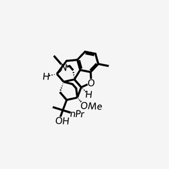 CCCC(C)(O)C1C[C@@]23CC[C@@]1(OC)[C@@H]1Oc4c(C)ccc5c4[C@@]12CCN(C)[C@@H]3C5